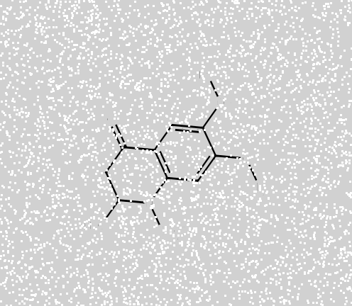 CCOC(=O)N1c2cc(OCC)c(OCC)cc2C(=O)CC1C